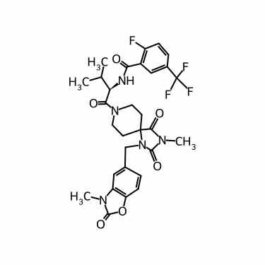 CC(C)[C@@H](NC(=O)c1cc(C(F)(F)F)ccc1F)C(=O)N1CCC2(CC1)C(=O)N(C)C(=O)N2Cc1ccc2oc(=O)n(C)c2c1